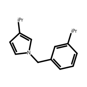 CC(C)c1cccc(Cn2ccc(C(C)C)c2)c1